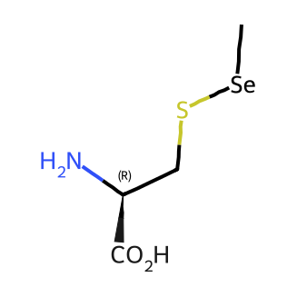 C[Se]SC[C@H](N)C(=O)O